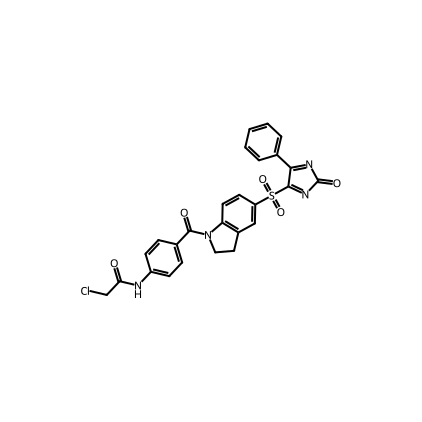 O=C1N=C(c2ccccc2)C(S(=O)(=O)c2ccc3c(c2)CCN3C(=O)c2ccc(NC(=O)CCl)cc2)=N1